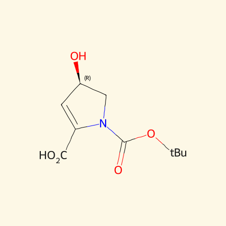 CC(C)(C)OC(=O)N1C[C@H](O)C=C1C(=O)O